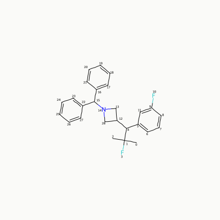 CC(C)(F)C(c1cccc(F)c1)C1CN(C(c2ccccc2)c2ccccc2)C1